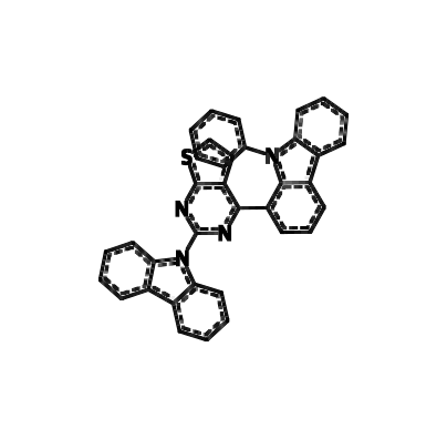 c1ccc(-n2c3ccccc3c3cccc(-c4nc(-n5c6ccccc6c6ccccc65)nc5sccc45)c32)cc1